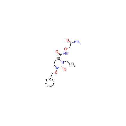 CCN1C(=O)N(OCc2ccccc2)CC[C@H]1C(=O)NOCC(N)=O